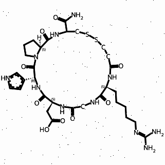 NC(=O)C1CSSCCC(=O)N[C@@H](CCCCCN=C(N)N)C(=O)NCC(=O)N[C@@H](CC(=O)O)C(=O)N[C@H](c2cc[nH]c2)C(=O)N2CCC[C@H]2C(=O)N1